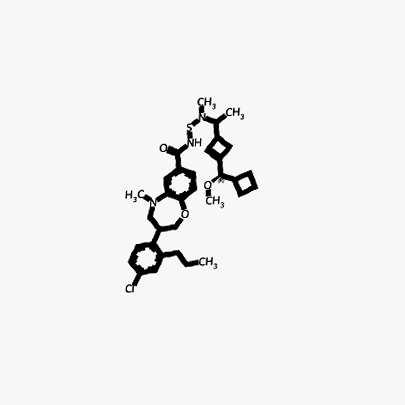 CCCc1cc(Cl)ccc1C1COc2ccc(C(=O)NSN(C)C(C)C3C=C([C@H](OC)C4CCC4)C3)cc2N(C)C1